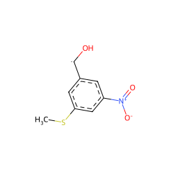 CSc1cc([CH]O)cc([N+](=O)[O-])c1